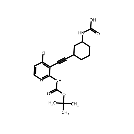 CC(C)(C)OC(=O)Nc1nccc(Cl)c1C#CC1CCCC(NC(=O)O)C1